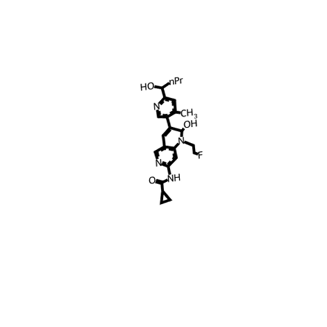 CCCC(O)c1cc(C)c(C2=Cc3cnc(NC(=O)C4CC4)cc3N(CCF)C2O)cn1